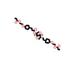 C=CC(=O)OCCOc1ccc(C=C[C@@H]2CO[C@H]3[C@@H]2OC[C@H]3OC(=O)/C=C/c2ccc(OCCOC(=O)C=C)cc2)cc1